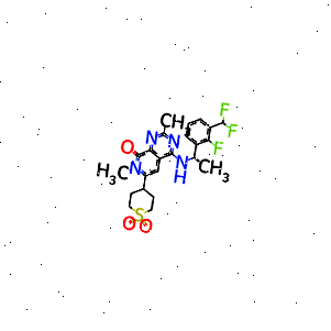 Cc1nc(N[C@H](C)c2cccc(C(F)F)c2F)c2cc(C3CCS(=O)(=O)CC3)n(C)c(=O)c2n1